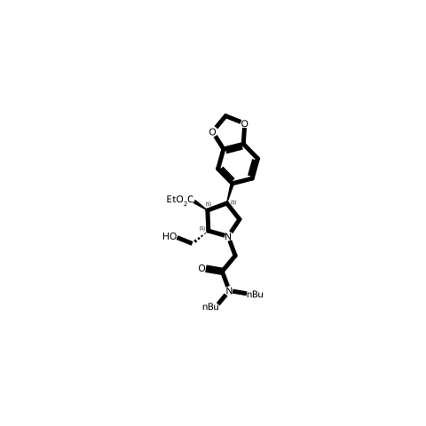 CCCCN(CCCC)C(=O)CN1C[C@H](c2ccc3c(c2)OCO3)[C@H](C(=O)OCC)[C@H]1CO